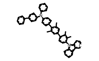 Cc1cc(-c2ccc(-n3c4ccccc4c4ccccc43)c(C)c2C)cc(C)c1-c1ccc(N(c2ccccc2)c2ccc(-c3ccccc3)cc2)cc1